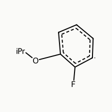 CC(C)Oc1ccc[c]c1F